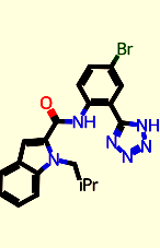 CC(C)Cn1c(C(=O)Nc2ccc(Br)cc2-c2nnn[nH]2)cc2ccccc21